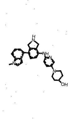 Cn1ccc2c(-c3ccc(Nc4ccc(N5CCC(O)CC5)cn4)c4c3CNC4)cccc21